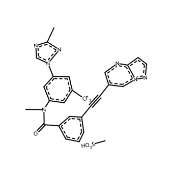 CS(=O)(=O)O.Cc1ncn(-c2cc(N(C)C(=O)c3cccc(C#Cc4cnc5ccnn5c4)c3)cc(C(F)(F)F)c2)n1